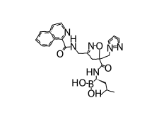 CC(C)C[C@H](NC(=O)C1(Cn2cccn2)CC(CNC(=O)c2nccc3ccccc23)=NO1)B(O)O